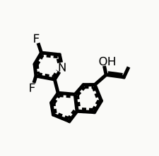 CC=C(O)c1ccc2cccc(-c3ncc(F)cc3F)c2c1